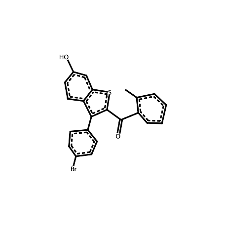 Cc1ccccc1C(=O)c1sc2cc(O)ccc2c1-c1ccc(Br)cc1